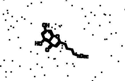 CCCCCCCCCCCCCCc1cc(=O)c2c(O)cc(O)cc2o1